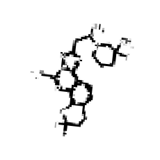 C[C@H](Cc1nc2c3ccc4c(c3nc(N)n2n1)OC(F)(F)CC4)N1CCCC(C)(F)C1